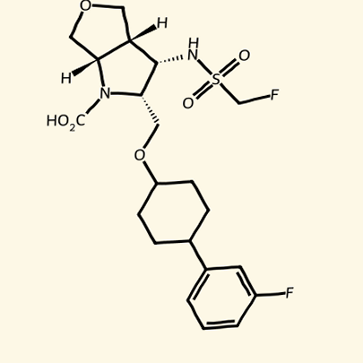 O=C(O)N1[C@@H]2COC[C@@H]2[C@H](NS(=O)(=O)CF)[C@@H]1COC1CCC(c2cccc(F)c2)CC1